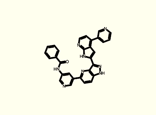 O=C(Nc1cncc(-c2ccc3[nH]nc(-c4cc5c(-c6cccnc6)ccnc5[nH]4)c3n2)c1)c1ccccc1